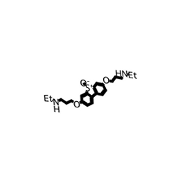 CCNCCCOc1ccc2c3ccc(OCCCNCC)cc3[s+]([O-])c2c1